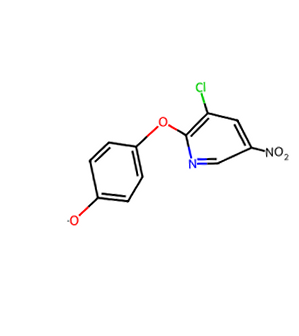 [O]c1ccc(Oc2ncc([N+](=O)[O-])cc2Cl)cc1